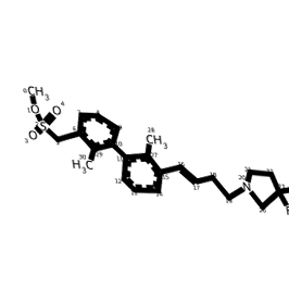 COS(=O)(=O)Cc1cccc(-c2cccc(C=CCCN3CCC(F)(F)C3)c2C)c1C